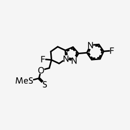 CSC(=S)OCC1(F)CCc2cc(-c3ccc(F)cn3)nn2C1